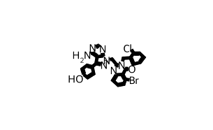 Nc1ncnc2c1c(-c1ccc(O)cc1)nn2Cc1nc2cccc(Br)c2c(=O)n1Cc1ccccc1Cl